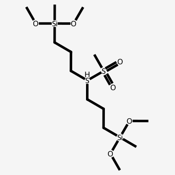 CO[Si](C)(CCC[SH](CCC[Si](C)(OC)OC)S(C)(=O)=O)OC